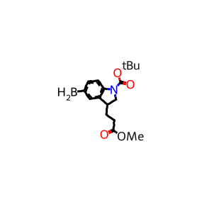 Bc1ccc2c(c1)C(CCC(=O)OC)CN2C(=O)OC(C)(C)C